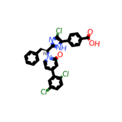 O=C(O)c1ccc(-c2[nH]c([C@H](Cc3ccccc3)n3ccc(-c4cc(Cl)ccc4Cl)cc3=O)nc2Cl)cc1